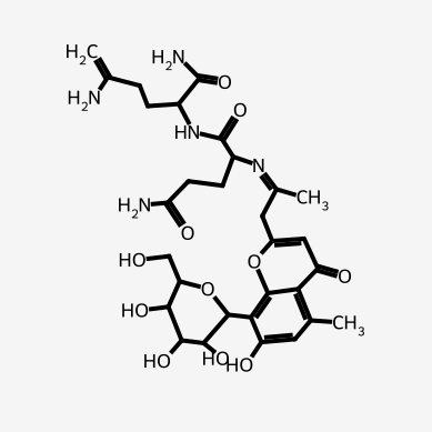 C=C(N)CCC(NC(=O)C(CCC(N)=O)/N=C(/C)Cc1cc(=O)c2c(C)cc(O)c(C3OC(CO)C(O)C(O)C3O)c2o1)C(N)=O